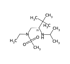 CCN(C[C@@H](NC(C)C)C(C)(C)C)S(C)(=O)=O